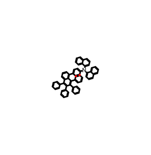 c1ccc(-c2c(-c3ccccc3)c(-c3ccccc3)c3c(-c4ccc(N(c5cccc6ccccc56)c5cccc6ccccc56)cc4)cccc3c2-c2ccccc2)cc1